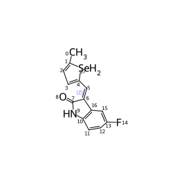 CC1=CC=C(/C=C2\C(=O)Nc3ccc(F)cc32)[SeH2]1